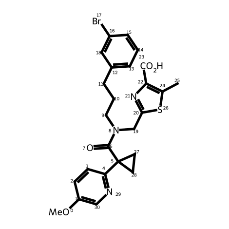 COc1ccc(C2(C(=O)N(CCCc3cccc(Br)c3)Cc3nc(C(=O)O)c(C)s3)CC2)nc1